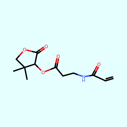 C=CC(=O)NCCC(=O)OC1C(=O)OCC1(C)C